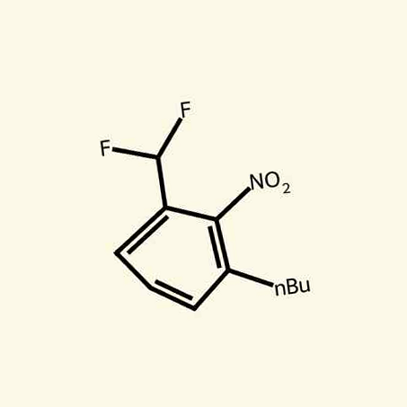 CCCCc1cccc(C(F)F)c1[N+](=O)[O-]